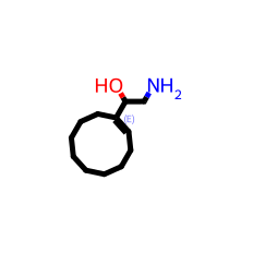 NCC(O)/C1=C/CCCCCCCC1